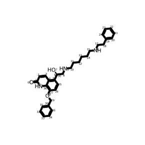 O=c1ccc2c([C@@H](O)CNCCCCCCNCCc3ccccc3)ccc(OCc3ccccc3)c2[nH]1